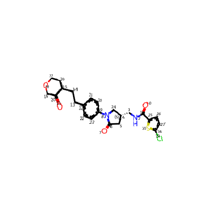 O=C(NC[C@@H]1CC(=O)N(c2ccc(CCC3CCOCC3=O)cc2)C1)c1ccc(Cl)s1